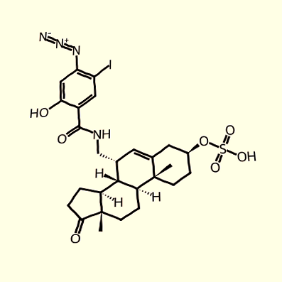 C[C@]12CC[C@H](OS(=O)(=O)O)CC1=C[C@@H](CNC(=O)c1cc(I)c(N=[N+]=[N-])cc1O)[C@@H]1[C@@H]2CC[C@]2(C)C(=O)CC[C@@H]12